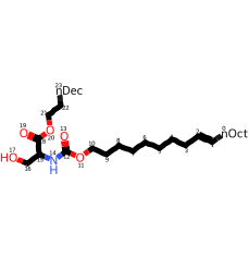 CCCCCCCCC=CCCCCCCCCOC(=O)NC(CO)C(=O)OCCCCCCCCCCCC